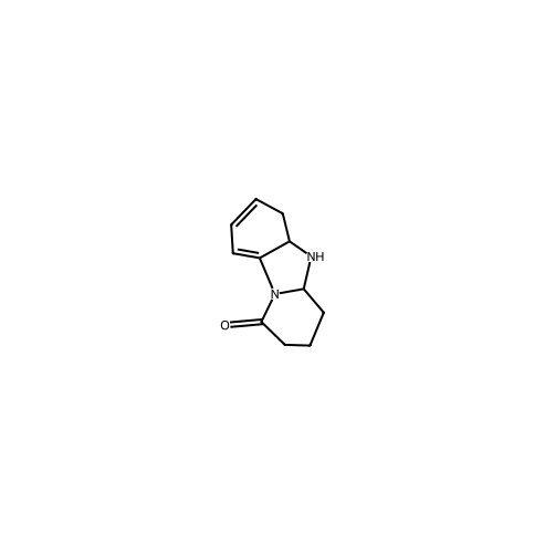 O=C1CCCC2NC3CC=CC=C3N12